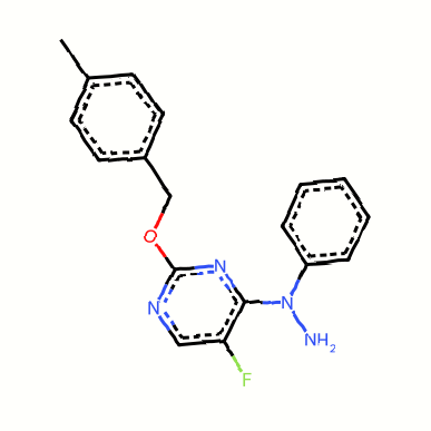 Cc1ccc(COc2ncc(F)c(N(N)c3ccccc3)n2)cc1